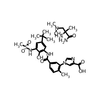 CN(C)CC(C)(C)C(N)=O.Cc1ccc(C(=O)Nc2cc(C(C)(C)C)cc(NS(C)(=O)=O)c2C)cc1-n1cnc(C(=O)O)c1